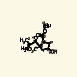 C=C(C)C(=O)[C@@]1(C(=O)O)CC(O)CN1C(=O)OC(C)(C)C